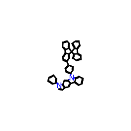 c1ccc(-n2ccc3cc4c5ccccc5n(-c5ccc(-c6ccc7c(c6)C6(c8ccccc8-c8ccccc86)c6ccccc6-7)cc5)c4cc32)cc1